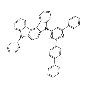 c1ccc(-c2ccc(-c3nc(-c4ccccc4)cc(-n4c5ccccc5c5c6c7ccccc7n(-c7ccccc7)c6ccc54)n3)cc2)cc1